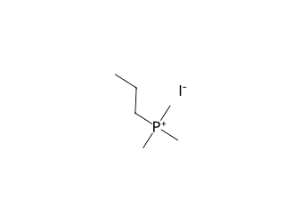 CCC[P+](C)(C)C.[I-]